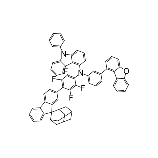 Fc1c(F)c(N(c2cccc(-c3cccc4oc5ccccc5c34)c2)c2cccc3c2c2ccccc2n3-c2ccccc2)c(F)c(F)c1-c1ccc2c(c1)C1(c3ccccc3-2)C2CC3CC(C2)CC1C3